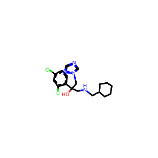 OC(CNCC1CCCCC1)(Cn1cncn1)c1ccc(Cl)cc1Cl